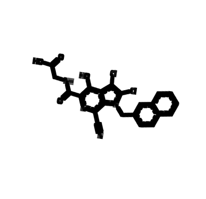 N#Cc1nc(C(=O)NCC(=O)O)c(O)c2c(Cl)c(Cl)n(Cc3ccc4ccccc4c3)c12